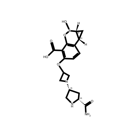 NC(=O)[C@H]1C[C@@H](N2CC(Oc3ccc4c(c3C(=O)O)OB(O)[C@@H]3C[C@H]43)C2)CN1